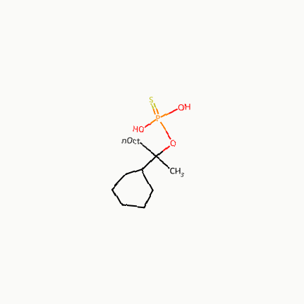 CCCCCCCCC(C)(OP(O)(O)=S)C1CCCCC1